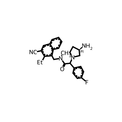 CCc1c(C#N)cc2ccccc2c1CN(C)C(=O)C(c1ccc(F)cc1)N1CC[C@@H](N)C1